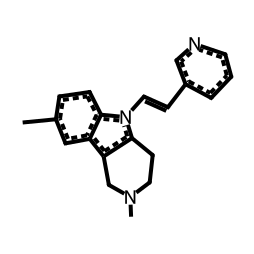 Cc1ccc2c(c1)c1c(n2C=Cc2cccnc2)CCN(C)C1